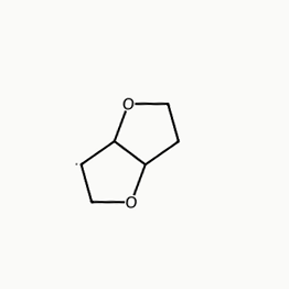 [CH]1COC2CCOC12